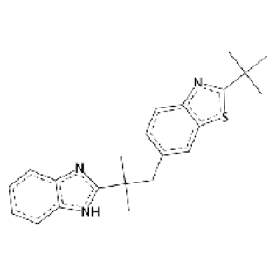 CC(C)(C)c1nc2ccc(CC(C)(C)c3nc4ccccc4[nH]3)cc2s1